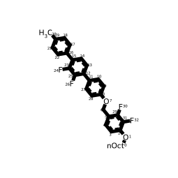 CCCCCCCCOc1ccc(COc2ccc(-c3ccc(-c4ccc(C)cc4)c(F)c3F)cc2)c(F)c1F